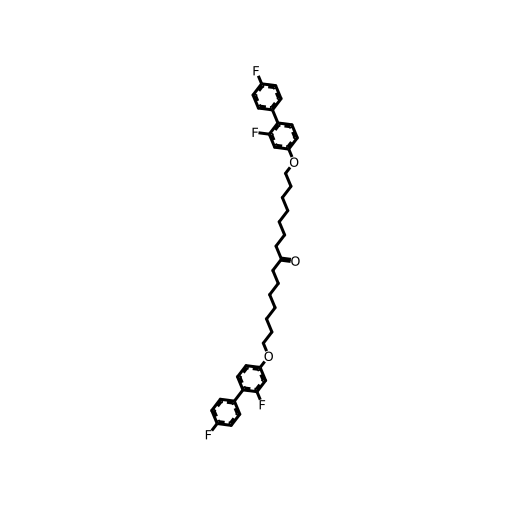 O=C(CCCCCCCOc1ccc(-c2ccc(F)cc2)c(F)c1)CCCCCCCOc1ccc(-c2ccc(F)cc2)c(F)c1